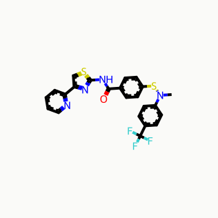 CN(Sc1ccc(C(=O)Nc2nc(-c3ccccn3)cs2)cc1)c1ccc(C(F)(F)F)cc1